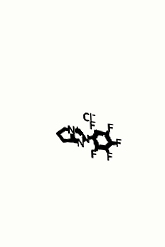 Fc1c(F)c(F)c(-n2c[n+]3c(n2)CCC3)c(F)c1F.[Cl-]